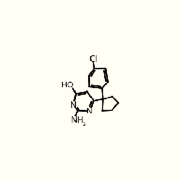 Nc1nc(O)cc(C2(c3ccc(Cl)cc3)CCCC2)n1